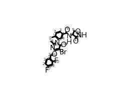 Cc1ccc(C(=O)N[C@H]2CONC2=O)cc1-n1c(C)nc(OCc2ccc(F)cc2F)c(Br)c1=O